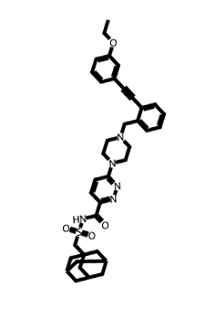 CCOc1cccc(C#Cc2ccccc2CN2CCN(c3ccc(C(=O)NS(=O)(=O)CC45CC6CC(CC(C6)C4)C5)nn3)CC2)c1